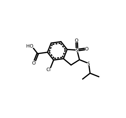 CC(C)SC1Cc2c(ccc(C(=O)O)c2Cl)S1(=O)=O